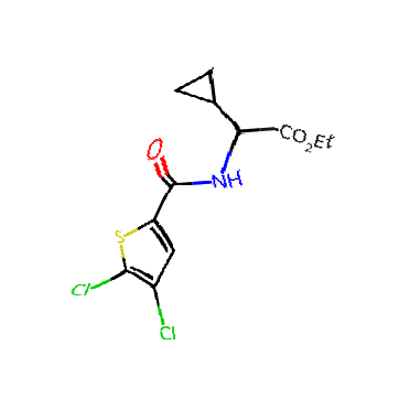 CCOC(=O)C(NC(=O)c1cc(Cl)c(Cl)s1)C1CC1